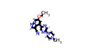 CCOc1cc(-c2cnc(N3CCN(C)CC3)cn2)c2c(C#N)cnn2c1